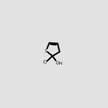 OC1(Cl)CC=CS1